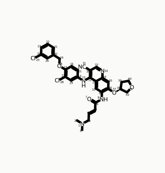 CN(C)CC=CC(=O)Nc1cc2c(Nc3ccc(OCc4cccc(Cl)c4)c(Cl)c3)c(C#N)cnc2cc1O[C@H]1CCOC1